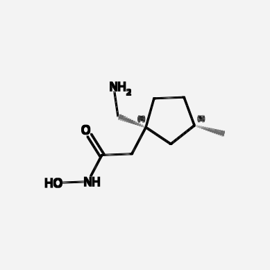 C[C@H]1CC[C@](CN)(CC(=O)NO)C1